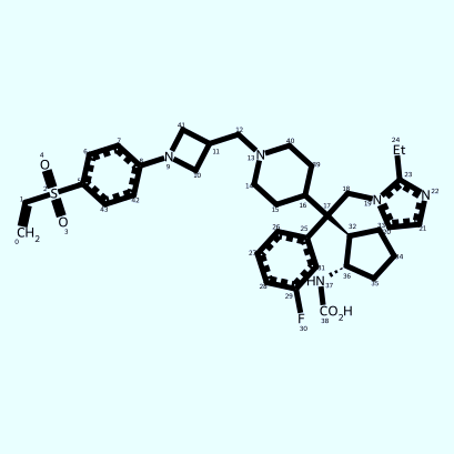 C=CS(=O)(=O)c1ccc(N2CC(CN3CCC(C(Cn4ccnc4CC)(c4cccc(F)c4)[C@H]4CCC[C@@H]4NC(=O)O)CC3)C2)cc1